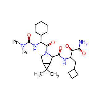 CC(C)N(C(=O)NC(C(=O)N1CC2C(C1C(=O)NC(CC1CCC1)C(=O)C(N)=O)C2(C)C)C1CCCCC1)C(C)C